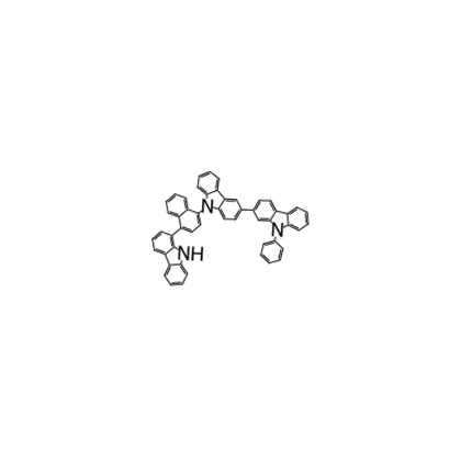 c1ccc(-n2c3ccccc3c3ccc(-c4ccc5c(c4)c4ccccc4n5-c4ccc(-c5cccc6c5[nH]c5ccccc56)c5ccccc45)cc32)cc1